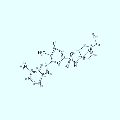 Cc1c(F)cc(S(=O)(=O)NC23CCC(CO)(CC2)OC3)cc1-c1cn2c(N)ncnc2n1